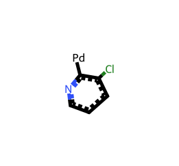 Clc1cccn[c]1[Pd]